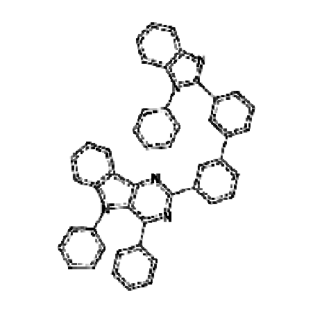 c1ccc(-c2nc(-c3cccc(-c4cccc(-c5nc6ccccc6n5-c5ccccc5)c4)c3)nc3c4ccccc4n(-c4ccccc4)c23)cc1